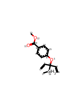 C=CC(C=C)(Oc1ccc(C(=O)OC)cc1)[SiH2]C